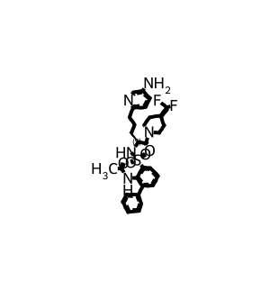 CC(=O)Nc1c(-c2ccccc2)cccc1S(=O)(=O)N[C@@H](CCCc1ccc(N)cn1)C(=O)N1CCC(=C(F)F)CC1